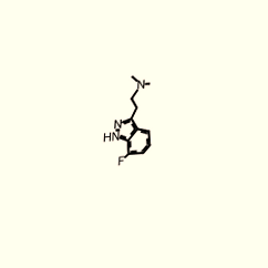 CN(C)CCc1n[nH]c2c(F)cccc12